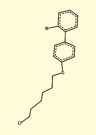 ClCCCCCCOc1ccc(-c2ccccc2Br)cc1